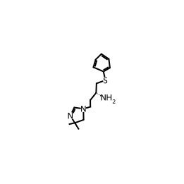 CC1(C)CN(CC[C@@H](N)CSc2ccccc2)C=N1